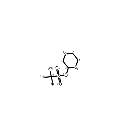 O=S(=O)(OC1CSCCS1)C(F)(F)F